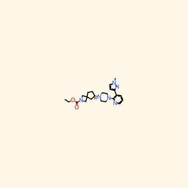 CCOC(=O)N1CC2(CC[C@@H](N3CCN(c4ncccc4-c4ccn(C)n4)CC3)C2)C1